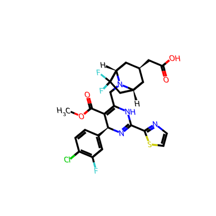 COC(=O)C1=C(CN2[C@@H]3C[C@H](CC(=O)O)C[C@H]2C(F)(F)C3)NC(c2nccs2)=N[C@H]1c1ccc(Cl)c(F)c1